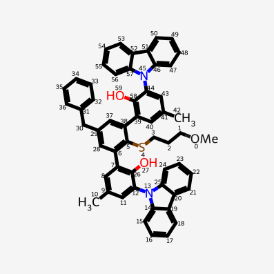 COCCCSc1c(-c2cc(C)cc(-n3c4ccccc4c4ccccc43)c2O)cc(Cc2ccccc2)cc1-c1cc(C)cc(-n2c3ccccc3c3ccccc32)c1O